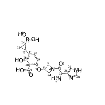 NC(C(=O)N1CC(Oc2ccc(C3CC3B(O)O)c(O)c2C(=O)O)C1)c1c[nH]cn1